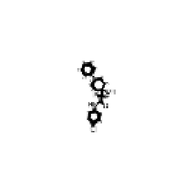 O=C(Nc1ccc(Cl)cc1)C(F)(F)[C@]1(O)CC[C@@H](c2ccccc2)CC1